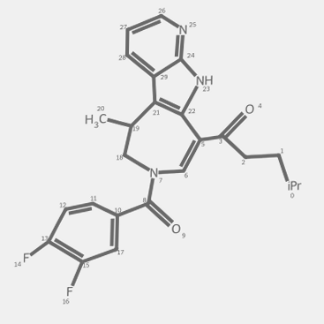 CC(C)CCC(=O)C1=CN(C(=O)c2ccc(F)c(F)c2)CC(C)c2c1[nH]c1ncccc21